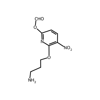 NCCCOc1nc(OC=O)ccc1[N+](=O)[O-]